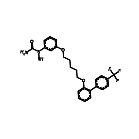 NC(=O)N(S)c1cccc(OCCCCCOc2ccccc2-c2ccc(C(F)(F)F)cc2)c1